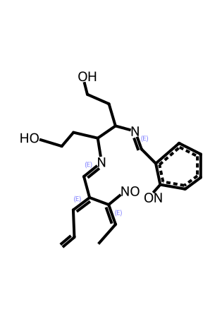 C=C/C=C(/C=N/C(CCO)C(CCO)/N=C/c1ccccc1N=O)C(=C/C)\N=O